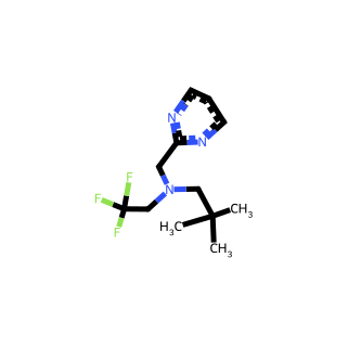 CC(C)(C)CN(Cc1ncccn1)CC(F)(F)F